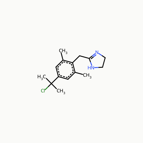 Cc1cc(C(C)(C)Cl)cc(C)c1CC1=NCCN1